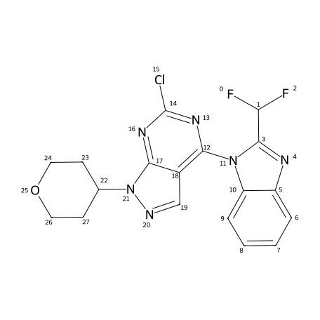 FC(F)c1nc2ccccc2n1-c1nc(Cl)nc2c1cnn2C1CCOCC1